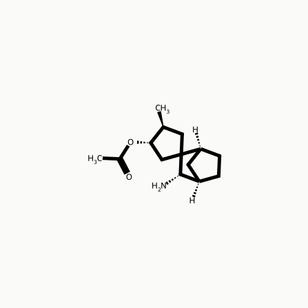 CC(=O)O[C@H]1CC2(C[C@@H]1C)[C@H]1CC[C@H](C1)[C@@H]2N